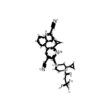 N#Cc1ccc2c(-c3cc(C#N)c(N4CCN(C(=O)CC(F)(F)F)C(C5CC5)C4)nc3C3CC3)cccc2n1